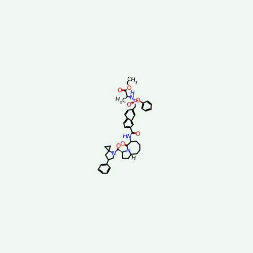 CCOC(=O)[C@H](C)NP(=O)(Cc1ccc2ccc(C(=O)N[C@H]3CCCC[C@H]4CC[C@@H](C(=O)N5CC(c6ccccc6)CC56CC6)N4C3=O)cc2c1)Oc1ccccc1